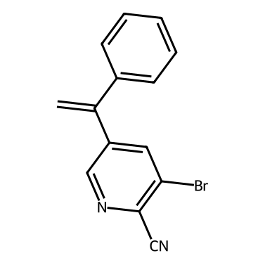 C=C(c1ccccc1)c1cnc(C#N)c(Br)c1